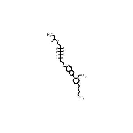 C=CC(=O)OCCC(F)(F)C(F)(F)C(F)(F)C(F)(F)CCSc1ccc2cc(-c3ccc(CCCCC)cc3CC)oc2c1